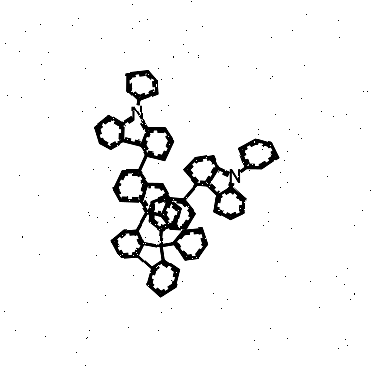 c1ccc(-n2c3ccccc3c3c(-c4cccc5c(-c6cccc7c6C(c6ccccc6)(c6ccccc6)c6ccccc6-7)c6cccc(-c7cccc8c7c7ccccc7n8-c7ccccc7)c6cc45)cccc32)cc1